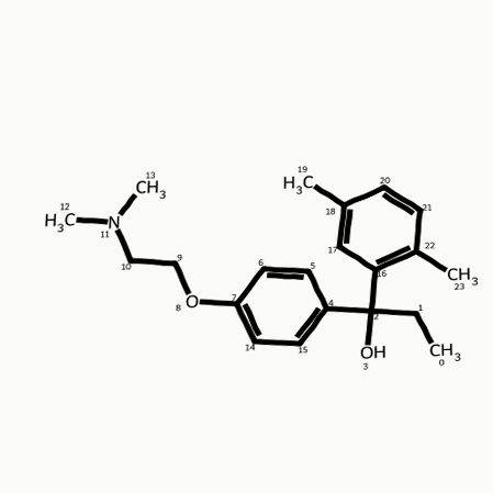 CCC(O)(c1ccc(OCCN(C)C)cc1)c1cc(C)ccc1C